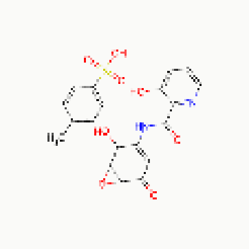 Cc1ccc(S(=O)(=O)O)cc1.O=C(NC1=CC(=O)C2OC2C1O)c1ncccc1O